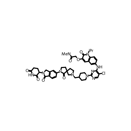 CNC(=O)COc1cc2cc(Nc3nc(N4CCC(CN5CCC6(CCN(c7ccc8c(c7)CN(C7CCC(=O)NC7=O)C8=O)C6=O)C5)CC4)ncc3Cl)ccc2n(C(C)C)c1=O